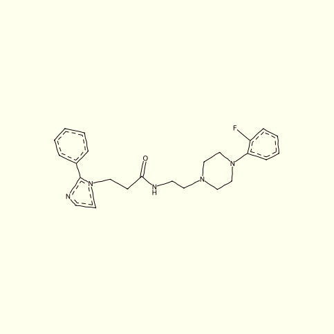 O=C(CCn1ccnc1-c1ccccc1)NCCN1CCN(c2ccccc2F)CC1